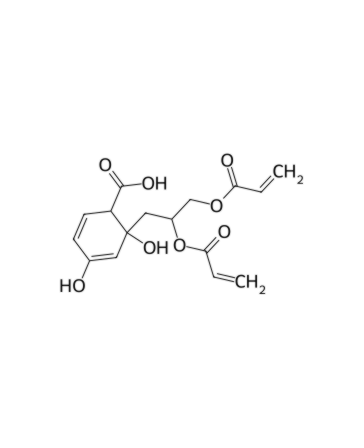 C=CC(=O)OCC(CC1(O)C=C(O)C=CC1C(=O)O)OC(=O)C=C